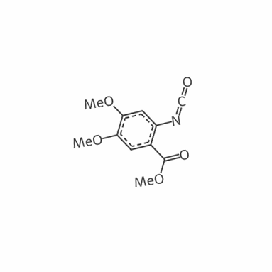 COC(=O)c1cc(OC)c(OC)cc1N=C=O